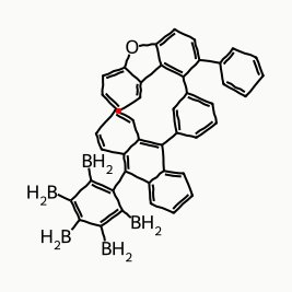 Bc1c(B)c(B)c(-c2c3ccccc3c(-c3cccc(-c4c(-c5ccccc5)ccc5oc6ccccc6c45)c3)c3ccccc23)c(B)c1B